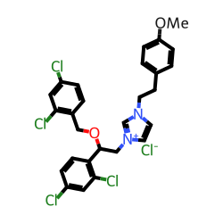 COc1ccc(CCn2cc[n+](CC(OCc3ccc(Cl)cc3Cl)c3ccc(Cl)cc3Cl)c2)cc1.[Cl-]